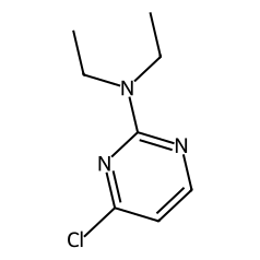 CCN(CC)c1nccc(Cl)n1